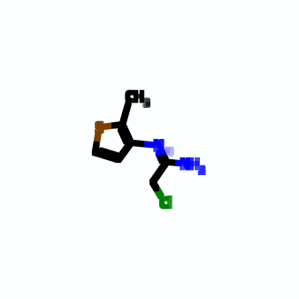 Cc1sccc1/N=C(/N)CCl